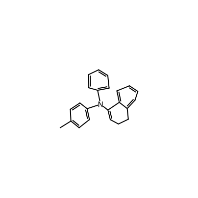 Cc1ccc(N(C2=CCCc3ccccc32)c2ccccc2)cc1